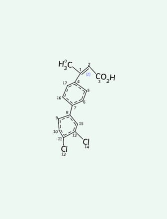 C/C(=C/C(=O)O)c1ccc(-c2ccc(Cl)c(Cl)c2)cc1